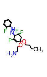 CCCCOC1(OCCN)C=C(F)C(N=Nc2ccccc2F)C(F)(F)C1